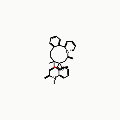 C=NC1(C)CC(=C)[n+]2ccccc2-c2ccccc2CCC1(C)/C(=C/C(=C)N(C)c1ccccc1C)CC